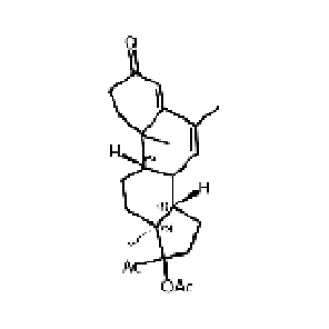 CC(=O)OC1(C(C)=O)CC[C@H]2C3C=C(C)C4=CC(=O)CCC4(C)[C@H]3CC[C@@]21C